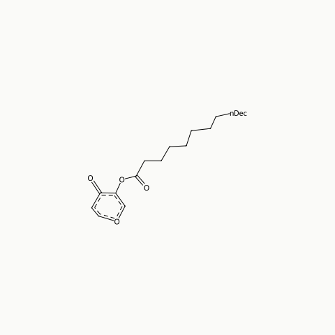 CCCCCCCCCCCCCCCCCC(=O)Oc1coccc1=O